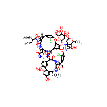 CN[C@H](CC(C)C)C(=O)N[C@H]1C(=O)N[C@@H](CC(N)=O)C(=O)N[C@H]2C(=O)N[C@H]3C(=O)N[C@H](C(=O)NC(C(=O)O)c4cc(O)cc(O)c4-c4cc3ccc4O)[C@H](O)c3ccc(c(Cl)c3)Oc3cc2cc(c3OC2CC(O)(OC3CC(C)(N)C(O)C(C)O3)C(O)C(CO)O2)Oc2ccc(cc2Cl)[C@H]1O